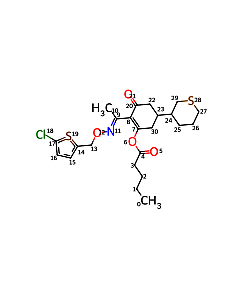 CCCCC(=O)OC1=C(C(C)=NOCc2ccc(Cl)s2)C(=O)CC(C2CCCSC2)C1